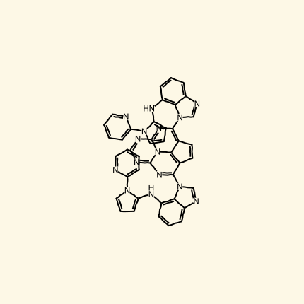 c1ccc(-n2cccc2Nc2cccc3ncn(-c4nc5ncnc6nc(-n7cnc8cccc(Nc9cccn9-c9ccccn9)c87)c7ccc4c7n56)c23)nc1